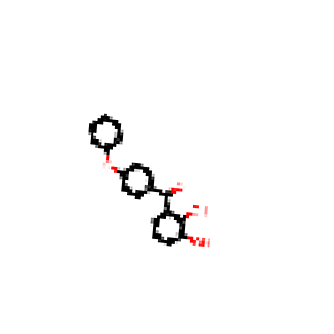 O=C(c1ccc(Oc2ccccc2)cc1)c1cccc(O)c1O